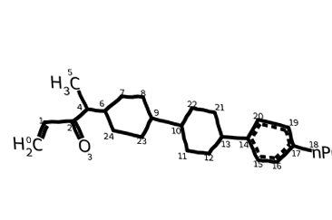 C=CC(=O)C(C)C1CCC(C2CCC(c3ccc(CCC)cc3)CC2)CC1